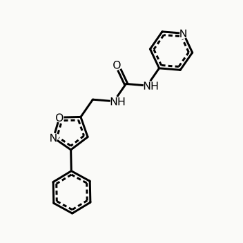 O=C(NCc1cc(-c2ccccc2)no1)Nc1ccncc1